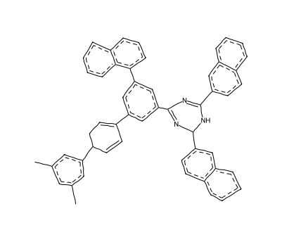 Cc1cc(C)cc(C2C=CC(c3cc(C4=NC(c5ccc6ccccc6c5)NC(c5ccc6ccccc6c5)=N4)cc(-c4cccc5ccccc45)c3)=CC2)c1